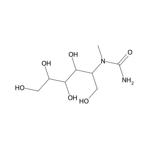 CN(C(N)=O)C(CO)C(O)C(O)C(O)CO